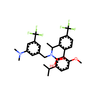 COc1ccc(C(C)C)cc1-c1ccc(C(F)(F)F)cc1C(C)N(Cc1cc(N(C)C)cc(C(F)(F)F)c1)C(=O)O